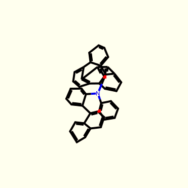 C1=CC2c3cccc4c3-c3cc(N(c5ccccc5)c5ccccc5-c5cccc6ccccc56)ccc3C(=C1)C2c1ccccc1-4